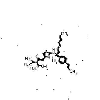 CCCCCCCC(C)(Nc1nc(CC(=O)N(C(C)C)C(C)C)cs1)c1ccc(CCC)cc1